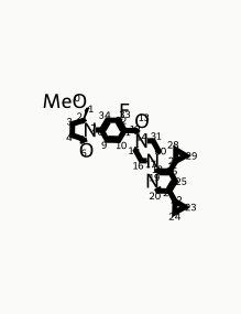 COC[C@@H]1CCC(=O)N1c1ccc(C(=O)N2CCN(c3ncc(C4CC4)cc3C3CC3)CC2)c(F)c1